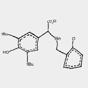 CCOC(=O)C(NCc1ccccc1Cl)c1cc(C(C)(C)C)c(O)c(C(C)(C)C)c1